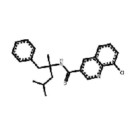 CC(C)CC(C)(Cc1ccccc1)NC(=O)c1cnc2c(Cl)cccc2c1